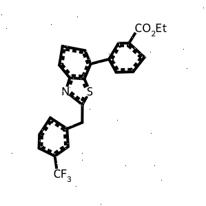 CCOC(=O)c1cccc(-c2cccc3nc(Cc4cccc(C(F)(F)F)c4)sc23)c1